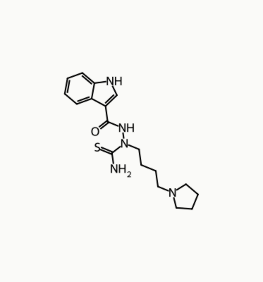 NC(=S)N(CCCCN1CCCC1)NC(=O)c1c[nH]c2ccccc12